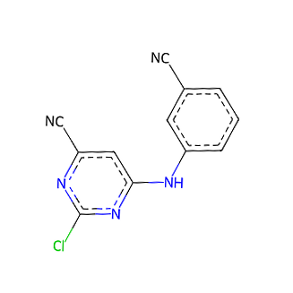 N#Cc1cccc(Nc2cc(C#N)nc(Cl)n2)c1